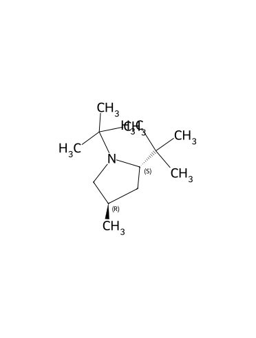 C[C@@H]1C[C@@H](C(C)(C)C)N(C(C)(C)C)C1